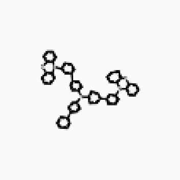 c1ccc(-c2ccc(N(c3ccc(-c4cccc(N5c6ccccc6Sc6ccccc65)c4)cc3)c3ccc(-c4cccc(N5c6ccccc6Sc6ccccc65)c4)cc3)cc2)cc1